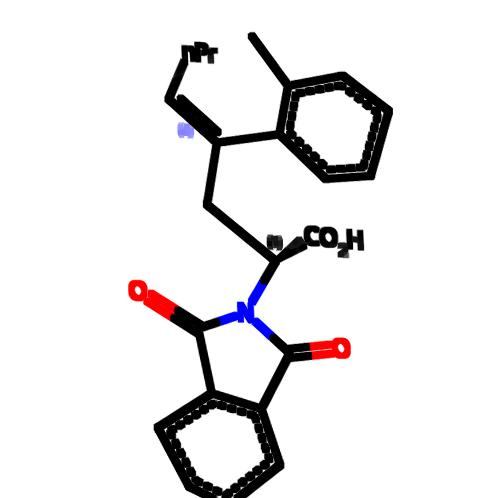 CCC/C=C(/C[C@@H](C(=O)O)N1C(=O)c2ccccc2C1=O)c1ccccc1C